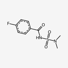 CN(C)S(=O)(=O)NC(=O)c1ccc(F)cc1